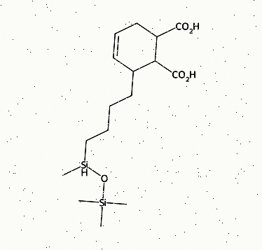 C[SiH](CCCCC1C=CCC(C(=O)O)C1C(=O)O)O[Si](C)(C)C